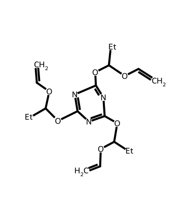 C=COC(CC)Oc1nc(OC(CC)OC=C)nc(OC(CC)OC=C)n1